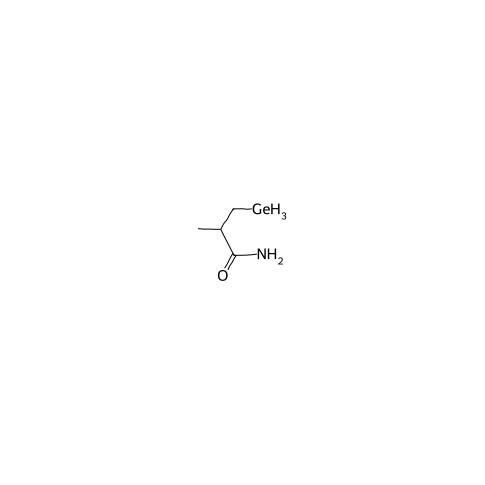 CC([CH2][GeH3])C(N)=O